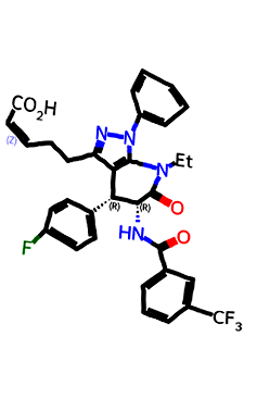 CCN1C(=O)[C@H](NC(=O)c2cccc(C(F)(F)F)c2)[C@H](c2ccc(F)cc2)c2c(CC/C=C\C(=O)O)nn(-c3ccccc3)c21